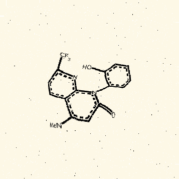 CNc1cc(=O)n(-c2ccccc2O)c2nc(C(F)(F)F)ccc12